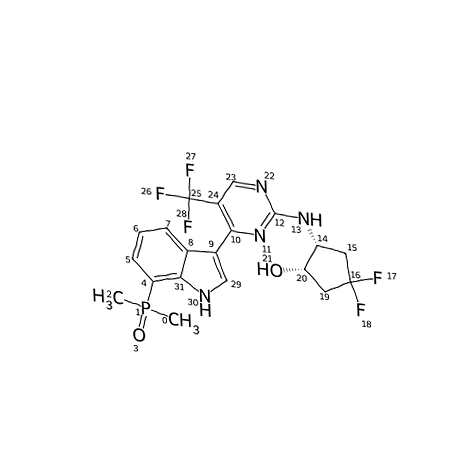 CP(C)(=O)c1cccc2c(-c3nc(N[C@@H]4CC(F)(F)C[C@@H]4O)ncc3C(F)(F)F)c[nH]c12